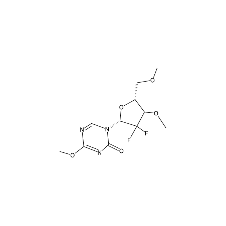 COC[C@H]1O[C@@H](n2cnc(OC)nc2=O)C(F)(F)C1OC